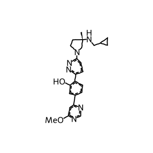 COc1cc(-c2ccc(-c3ccc(N4CC[C@](C)(NCC5CC5)C4)nn3)c(O)c2)ncn1